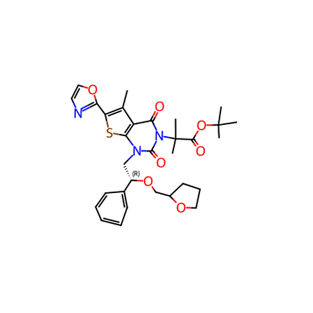 Cc1c(-c2ncco2)sc2c1c(=O)n(C(C)(C)C(=O)OC(C)(C)C)c(=O)n2C[C@H](OCC1CCCO1)c1ccccc1